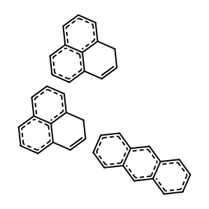 C1=Cc2cccc3cccc(c23)C1.C1=Cc2cccc3cccc(c23)C1.c1ccc2cc3ccccc3cc2c1